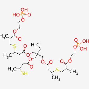 CCC(COC(=O)CC(C)S)(COC(=O)CC(C)SCC(C)C(=O)OCCOP(=O)(O)O)COC(=O)CC(C)SCC(C)C(=O)OCCOP(=O)(O)O